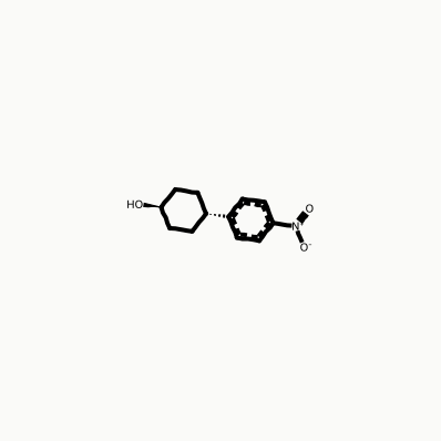 O=[N+]([O-])c1ccc([C@H]2CC[C@H](O)CC2)cc1